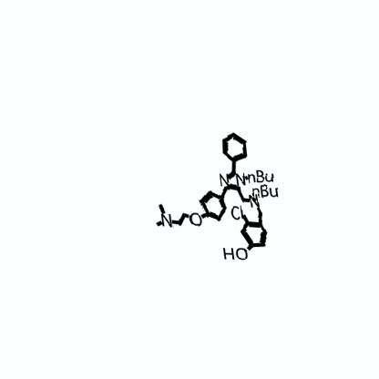 CCCCN(Cc1ccc(O)cc1Cl)Cc1c(-c2ccc(OCCN(C)C)cc2)nc(-c2ccccc2)n1CCCC